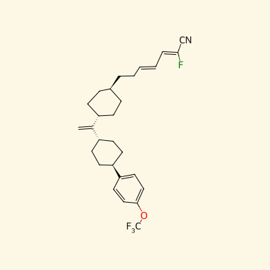 C=C([C@H]1CC[C@H](CC/C=C/C=C(\F)C#N)CC1)[C@H]1CC[C@H](c2ccc(OC(F)(F)F)cc2)CC1